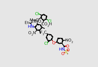 CCC(CC)Nc1c([N+](=O)[O-])cc(C)c(C)c1[N+](=O)[O-].COc1c(Cl)ccc(Cl)c1C(=O)O.CS(=O)(=O)NC(=O)c1cc(Oc2ccc(C(F)(F)F)cc2Cl)ccc1[N+](=O)[O-]